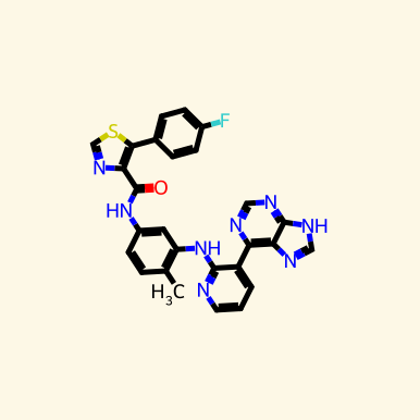 Cc1ccc(NC(=O)c2ncsc2-c2ccc(F)cc2)cc1Nc1ncccc1-c1ncnc2[nH]cnc12